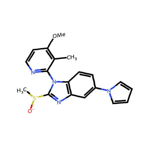 COc1ccnc(-n2c([S+](C)[O-])nc3cc(-n4cccc4)ccc32)c1C